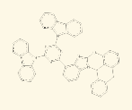 c1ccc2c(c1)Cc1cccc3c1B2n1c(nc2c(-c4nc(-n5c6ccccc6c6ccccc65)nc(-n5c6ccccc6c6ccccc65)n4)cccc21)O3